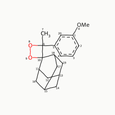 COc1cccc(C2(C)OOC23C2CC4CC(C2)CC3C4)c1